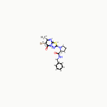 Cc1nc2sc(N3CCCC3C(=O)NCc3ccccc3)nn2c(=O)c1Br